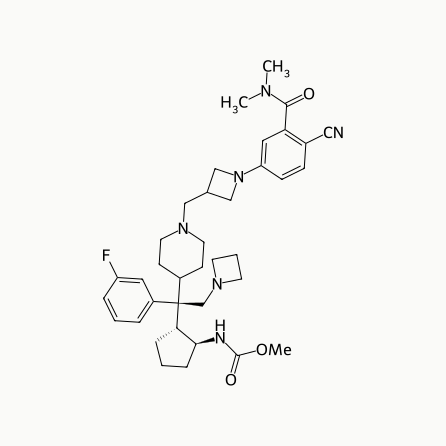 COC(=O)N[C@H]1CCC[C@@H]1[C@](CN1CCC1)(c1cccc(F)c1)C1CCN(CC2CN(c3ccc(C#N)c(C(=O)N(C)C)c3)C2)CC1